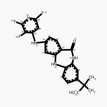 CC(C)(C(=O)O)c1ccc2c(c1)NC(=O)c1ccc(Nc3cc(F)nc(F)c3F)cc1N2